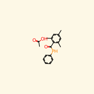 CC(=O)O.Cc1cc(C)c(C(=O)Pc2ccccc2)c(C)c1